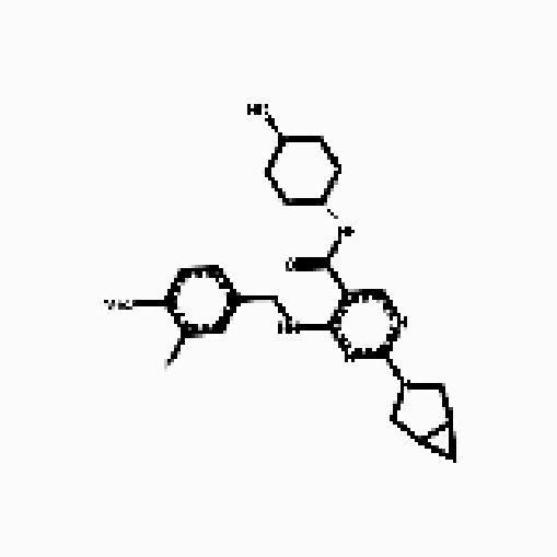 COc1ccc(CNc2nc(N3CC4CC4C3)ncc2C(=O)N[C@H]2CC[C@H](O)CC2)cc1F